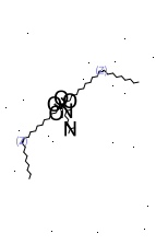 CCCCCCCC/C=C\CCCCCCCCOC(=O)C(C(=O)OCCCCCCCC/C=C\CCCCCCCC)N(C)CCCN(C)C